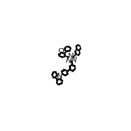 c1cc(-c2ccc(-n3c4ccccc4c4ccccc43)cc2)cc(-c2nc(-c3ccc4ccccc4c3)nc(-c3cccc4oc5ccccc5c34)n2)c1